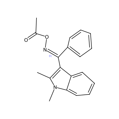 CC(=O)O/N=C(\c1ccccc1)c1c(C)n(C)c2ccccc12